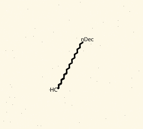 [CH]=C/C=C/C=C/C=C/CCCCCCCCCCCCCCCCCCCCCC